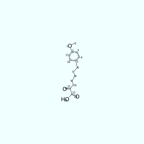 COc1ccc(CCCCCC(=O)C(=O)O)cc1